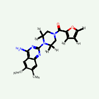 [2H]c1oc(C(=O)N2CC([2H])([2H])N(c3nc(N)c4cc(OC)c(OC)cc4n3)C([2H])([2H])C2)c([2H])c1[2H]